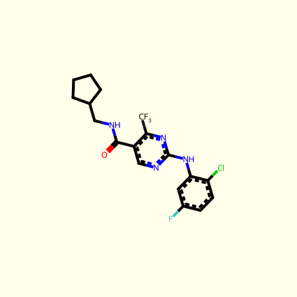 O=C(NCC1CCCC1)c1cnc(Nc2cc(F)ccc2Cl)nc1C(F)(F)F